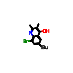 CCC(C)c1cc(Br)c2nc(C)c(C)c(O)c2c1